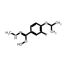 CN/N=C(\OO)c1ccc(OC(C)C)c(F)c1